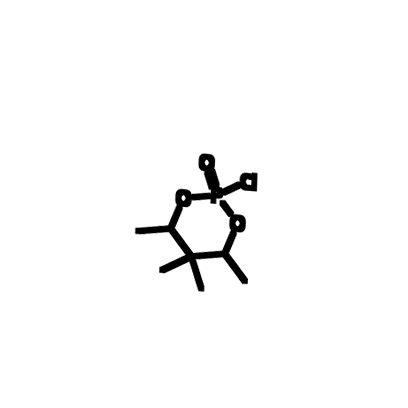 CC1OP(=O)(Cl)OC(C)C1(C)C